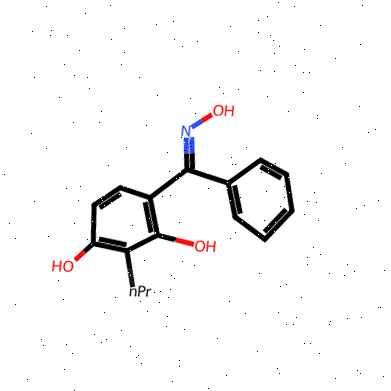 CCCc1c(O)ccc(C(=NO)c2ccccc2)c1O